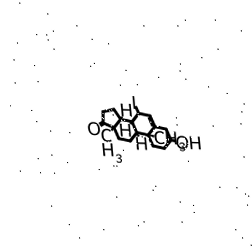 C[C@]12CCC(O)CC1=CC(I)[C@@H]1[C@H]2CC[C@]2(C)C(=O)CC[C@@H]12